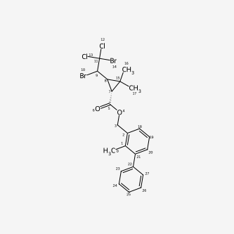 Cc1c(COC(=O)[C@@H]2C(C(Br)C(Cl)(Cl)Br)C2(C)C)cccc1-c1ccccc1